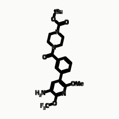 COc1nc(OC(F)(F)F)c(N)cc1-c1cccc(C(=O)N2CCN(C(=O)OC(C)(C)C)CC2)c1